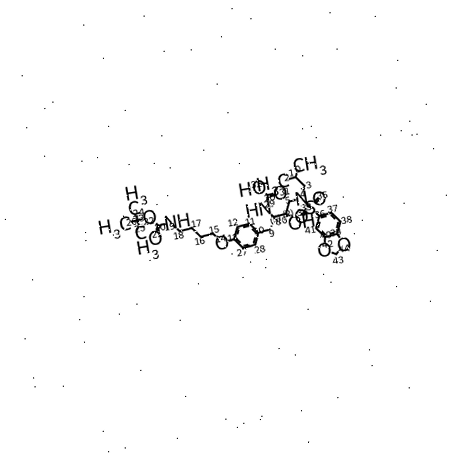 CC(C)CN(C[C@@H](O)[C@H](Cc1ccc(OCCCCNC(=O)OC(C)(C)C)cc1)NC(=O)O)S(=O)(=O)c1ccc2c(c1)OCO2